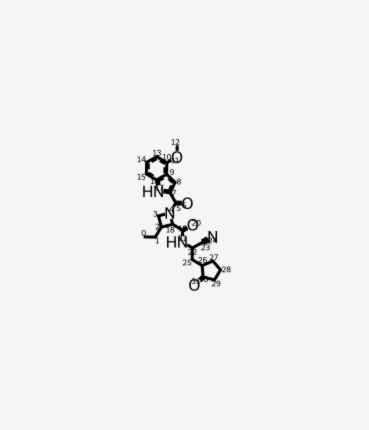 CCC1CN(C(=O)c2cc3c(OC)cccc3[nH]2)C1C(=O)NC(C#N)CC1CCCC1=O